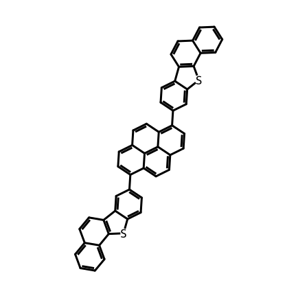 c1ccc2c(c1)ccc1c3ccc(-c4ccc5ccc6c(-c7ccc8sc9c%10ccccc%10ccc9c8c7)ccc7ccc4c5c76)cc3sc21